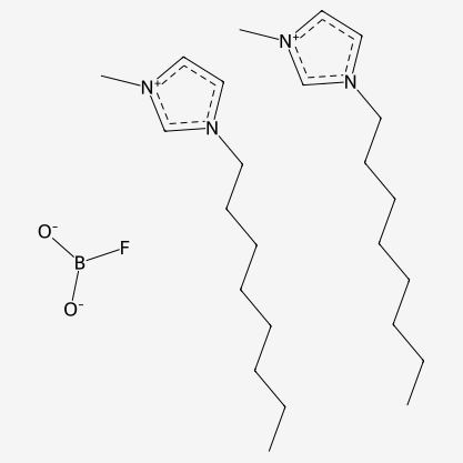 CCCCCCCCn1cc[n+](C)c1.CCCCCCCCn1cc[n+](C)c1.[O-]B([O-])F